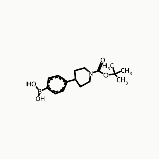 CC(C)(C)OC(=O)N1CCC(c2ccc(B(O)O)cc2)CC1